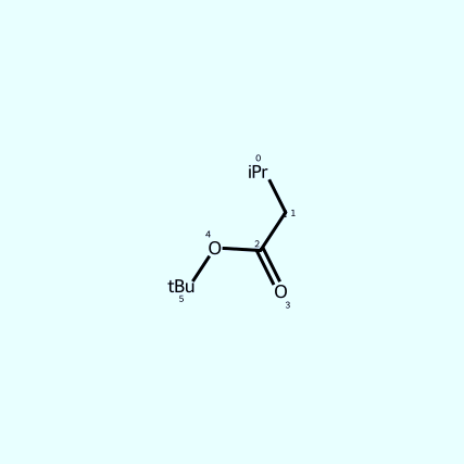 CC(C)[CH]C(=O)OC(C)(C)C